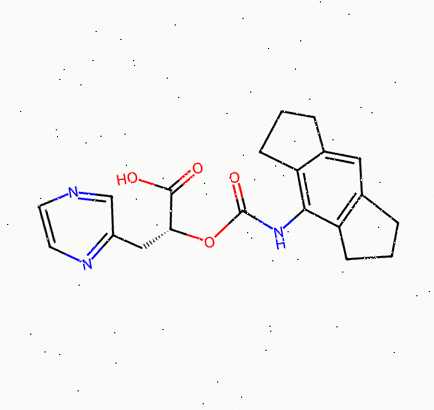 O=C(Nc1c2c(cc3c1CCC3)CCC2)O[C@H](Cc1cnccn1)C(=O)O